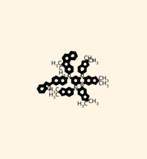 CC1(C)Cc2ccc(N3C4=C(C=C5CC(C)(C)CC5C4)B4c5cc6c(cc5N(C5=CC7CC(C)(C)CC7C=C5)c5cc(N(c7ccc8c(c7)C(C)(C)c7ccc9ccccc9c7-8)c7ccc8cc(-c9cc%10ccccc%10o9)ccc8c7)cc3c54)CC(C)(C)C6)cc2C1